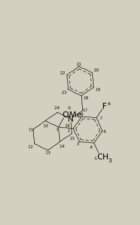 COC1(c2cc(C)cc(F)c2)C2CCCC1CN(Cc1ccccc1)C2